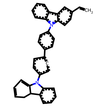 C=Cc1ccc2c(c1)c1ccccc1n2-c1ccc(-c2ccc(N3C4=CC=CCC4c4ccccc43)cc2)cc1